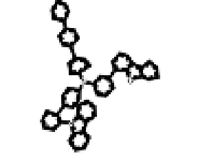 c1ccc(-c2ccc(-c3ccc(N(c4ccc(-c5ccccc5-n5c6ccccc6c6ccccc65)cc4)c4cccc(-c5cccc6c5oc5ccccc56)c4)cc3)cc2)cc1